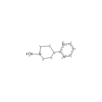 NN1CCC(c2ncccn2)CC1